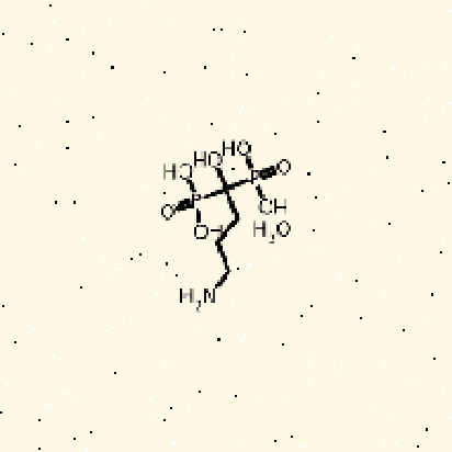 NCCCC(O)(P(=O)(O)O)P(=O)(O)O.O